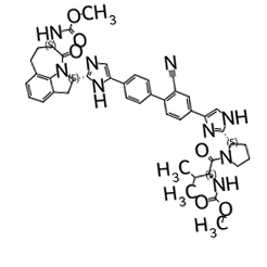 COC(=O)N[C@H]1CCc2cccc3c2N(C1=O)[C@H](c1ncc(-c2ccc(-c4ccc(-c5c[nH]c([C@@H]6CCCN6C(=O)[C@@H](NC(=O)OC)C(C)C)n5)cc4C#N)cc2)[nH]1)C3